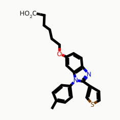 Cc1ccc(-n2c(-c3ccsc3)nc3ccc(OCCCCCC(=O)O)cc32)cc1